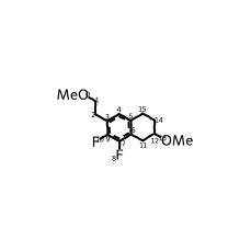 COCCc1cc2c(c(F)c1F)CC(OC)CC2